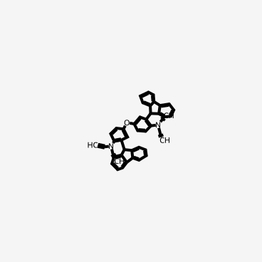 C#CN(C#C)c1ccc(Oc2ccc(N(C#C)C#C)c(C3c4ccccc4-c4ccccc43)c2)cc1C1c2ccccc2-c2ccccc21